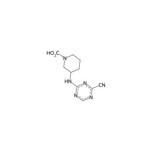 N#Cc1ncnc(NC2CCCN(C(=O)O)C2)n1